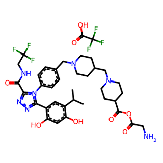 CC(C)c1cc(-c2nnc(C(=O)NCC(F)(F)F)n2-c2ccc(CN3CCC(CN4CCC(C(=O)OC(=O)CN)CC4)CC3)cc2)c(O)cc1O.O=C(O)C(F)(F)F